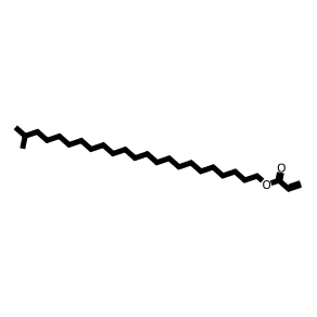 C=CC(=O)OCCCCCCCCCCCCCCCCCCCCCC(C)C